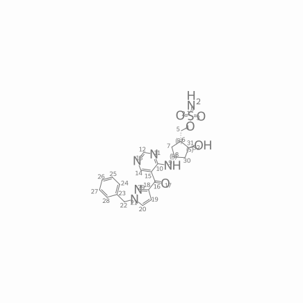 NS(=O)(=O)OC[C@H]1C[C@@H](Nc2ncncc2C(=O)c2ccn(Cc3ccccc3)n2)C[C@@H]1O